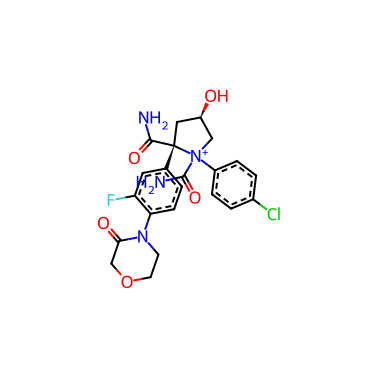 NC(=O)[C@]1(c2ccc(N3CCOCC3=O)c(F)c2)C[C@@H](O)C[N+]1(C(N)=O)c1ccc(Cl)cc1